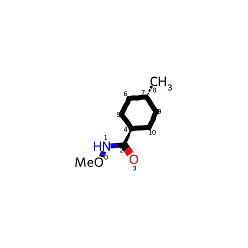 CONC(=O)[C@H]1CC[C@H](C)CC1